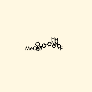 COC(=O)C1CCCCC1C(=O)c1ccc(-c2ccc(NC(=O)Nc3ccc(F)cc3)cc2)cc1